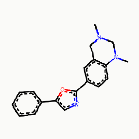 CN1Cc2cc(-c3ncc(-c4ccccc4)o3)ccc2N(C)C1